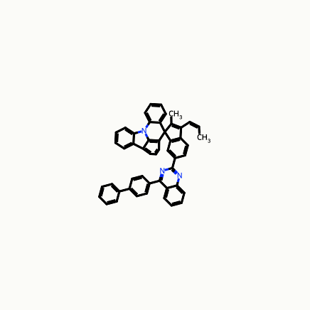 C/C=C\C1=C(C)C2(c3cc(-c4nc(-c5ccc(-c6ccccc6)cc5)c5ccccc5n4)ccc31)c1ccccc1-n1c3ccccc3c3cccc2c31